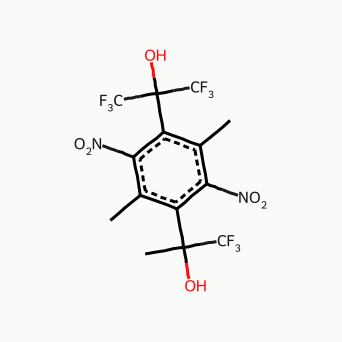 Cc1c([N+](=O)[O-])c(C(O)(C(F)(F)F)C(F)(F)F)c(C)c([N+](=O)[O-])c1C(C)(O)C(F)(F)F